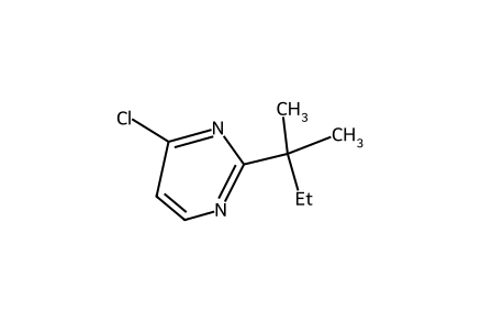 CCC(C)(C)c1nccc(Cl)n1